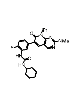 CNc1ncc2cc(-c3ccc(F)c(NC(=O)NC4CCCCC4)c3)c(=O)n(C(C)C)c2n1